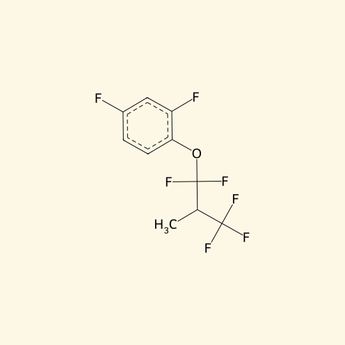 CC(C(F)(F)F)C(F)(F)Oc1ccc(F)cc1F